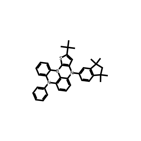 CC(C)(C)c1cc2c(s1)B1c3ccccc3N(c3ccccc3)c3cccc(c31)N2c1ccc2c(c1)C(C)(C)CC2(C)C